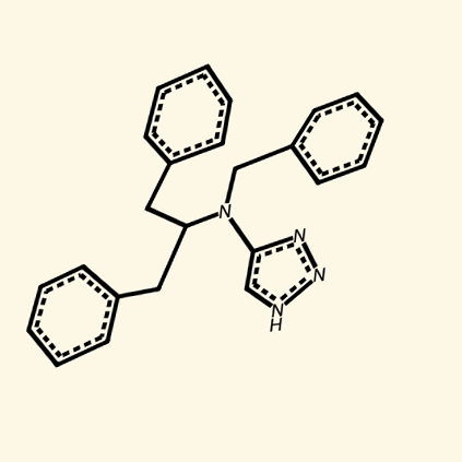 c1ccc(CC(Cc2ccccc2)N(Cc2ccccc2)c2c[nH]nn2)cc1